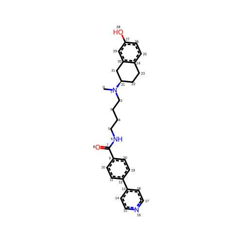 CN(CCCCNC(=O)c1ccc(-c2ccncc2)cc1)[C@@H]1CCc2ccc(O)cc2C1